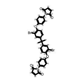 CC(C)(c1ccc(Oc2ccc(N3C(=O)C=CC3=O)cc2)c(Br)c1)c1ccc(Oc2ccc(N3C(=O)C=CC3=O)cc2)c(Br)c1